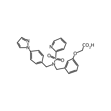 O=C(O)COc1cccc(CN(Cc2ccc(-n3cccn3)cc2)S(=O)(=O)c2ccccn2)c1